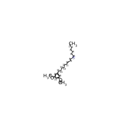 CCCCCC/C=C\CCCCCCCCCc1cc(OC)cc(OC)c1